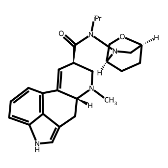 CC(C)N(C(=O)[C@@H]1C=C2c3cccc4[nH]cc(c34)C[C@H]2N(C)C1)N1C[C@@H]2CC[C@H]1CO2